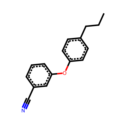 CCCc1ccc(Oc2cccc(C#N)c2)cc1